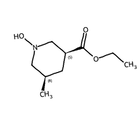 CCOC(=O)[C@H]1C[C@@H](C)CN(O)C1